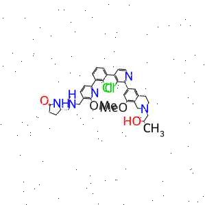 COc1cc(-c2nccc(-c3cccc(-c4ccc(CNC[C@@H]5CCC(=O)N5)c(OC)n4)c3Cl)c2Cl)cc2c1CN(C[C@H](C)O)CC2